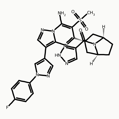 CS(=O)(=O)c1c([C@@H]2C[C@H]3CC[C@@H](C2)N3C(=O)c2cn[nH]n2)nc2c(-c3cnn(-c4ccc(F)cc4)c3)cnn2c1N